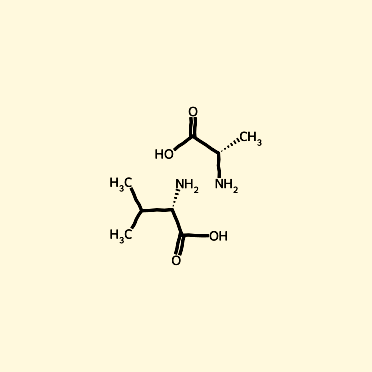 CC(C)[C@H](N)C(=O)O.C[C@H](N)C(=O)O